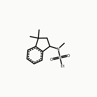 CCS(=O)(=O)N(C)C1CC(C)(C)c2ccccc21